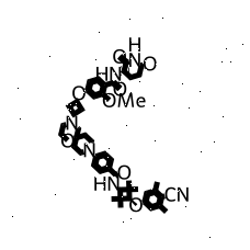 COc1cc(O[C@H]2C[C@H](N3CCOC4(CCN(c5ccc(C(=O)N[C@H]6C(C)(C)[C@H](Oc7cc(C)c(C#N)c(C)c7)C6(C)C)cc5)CC4)C3)C2)ccc1C(=O)N[C@H]1CCC(=O)NC1=O